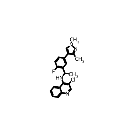 Cc1nn(C)cc1-c1ccc(F)c([C@@H](C)Nc2c(Cl)cnc3ccccc23)c1